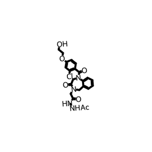 CC(=O)NNC(=O)CN1Cc2ccccc2N(C(=O)c2ccc(OCCO)cc2Cl)CC1=O